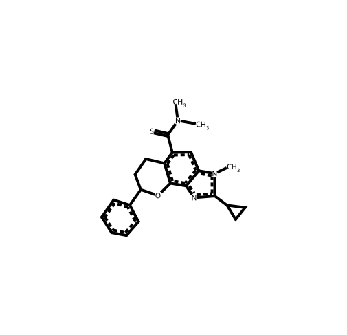 CN(C)C(=S)c1cc2c(nc(C3CC3)n2C)c2c1CCC(c1ccccc1)O2